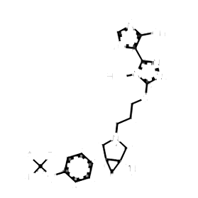 Cc1ncoc1-c1nnc(SCCCN2C[C@H]3C[C@@]3(c3ccc(OC(F)(F)F)cc3)C2)n1C